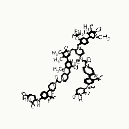 COc1cc(-c2cn(CC3CC(N(C)C(=O)N4CCC(c5ccc(NC6CCC(=O)NC6=O)cc5C(F)(F)F)CC4)CCN3Cc3ccc(-c4cn(C)c(=O)c(C)c4C)cc3OC(F)(F)F)c(=O)c(C)c2C)cc(Cl)c1CC1CCN(CC(=O)N2CCC(c3ccc(NC4CCC(=O)NC4=O)cc3C(F)(F)F)CC2)CC1